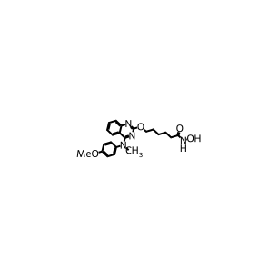 COc1ccc(N(C)c2nc(OCCCCCC(=O)NO)nc3ccccc23)cc1